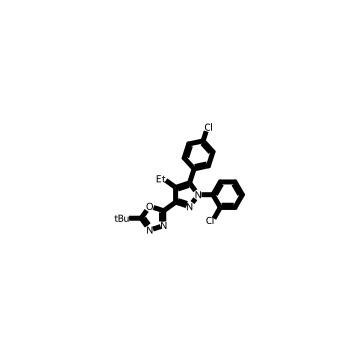 CCc1c(-c2nnc(C(C)(C)C)o2)nn(-c2ccccc2Cl)c1-c1ccc(Cl)cc1